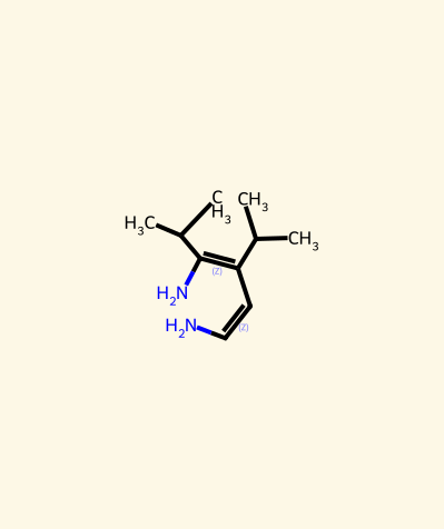 CC(C)/C(N)=C(/C=C\N)C(C)C